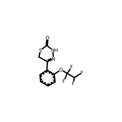 O=C1NN=C(c2ccccc2OC(F)(F)C(F)F)CS1